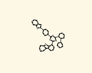 c1ccc(-c2ccccc2-c2nc(-c3ccc(-c4cc5ccccc5s4)cc3)nc(-c3cccc4c3sc3ccccc34)n2)cc1